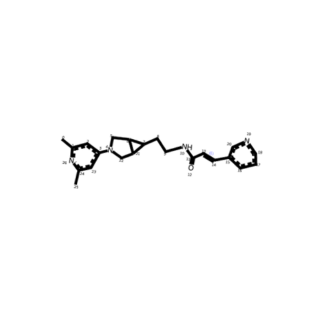 Cc1cc(N2CC3C(CCNC(=O)/C=C/c4cccnc4)C3C2)cc(C)n1